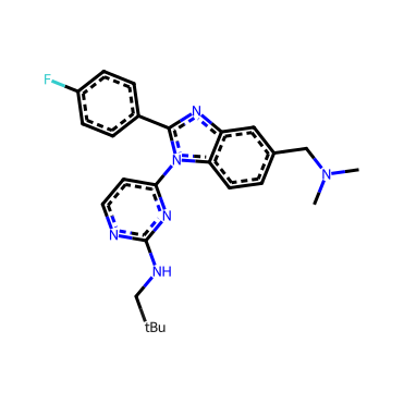 CN(C)Cc1ccc2c(c1)nc(-c1ccc(F)cc1)n2-c1ccnc(NCC(C)(C)C)n1